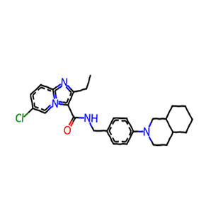 CCc1nc2ccc(Cl)cn2c1C(=O)NCc1ccc(N2CCC3CCCCC3C2)cc1